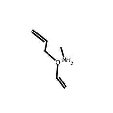 C=CCOC=C.CN